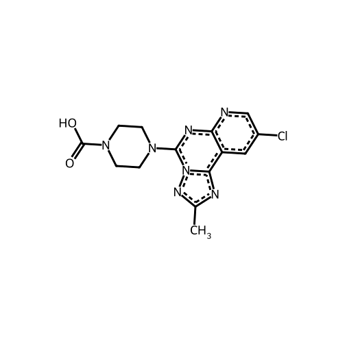 Cc1nc2c3cc(Cl)cnc3nc(N3CCN(C(=O)O)CC3)n2n1